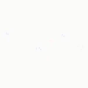 N[C@@H](CS(=O)(=O)NCC1CCNCC1)C(=O)O